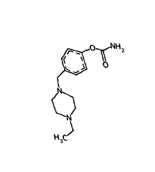 CCN1CCN(Cc2ccc(OC(N)=O)cc2)CC1